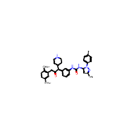 COc1ccc(OC)c(CC(=O)C(c2cccc(NC(=O)Nc3cc(C(C)(C)C)nn3-c3ccc(C)cc3)c2)C2CCNCC2)c1